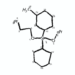 CCCO[Si](OCCC(C)C)(C1CCCCC1)C1CCCC(C)C1